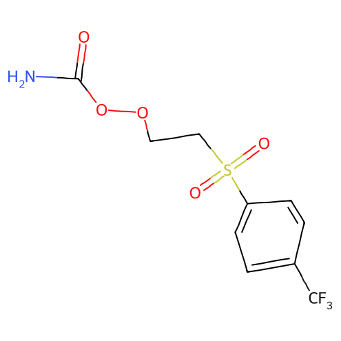 NC(=O)OOCCS(=O)(=O)c1ccc(C(F)(F)F)cc1